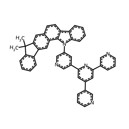 CC1(C)c2ccccc2-c2cc3c(ccc4c5ccccc5n(-c5cncc(-c6cc(-c7cccnc7)cc(-c7cccnc7)n6)c5)c34)cc21